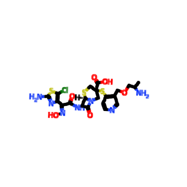 CC(N)COCc1cnccc1SC1(C(=O)O)CS[C@@H]2[C@H](NC(=O)C(=NO)c3nc(N)sc3Cl)C(=O)N2C1